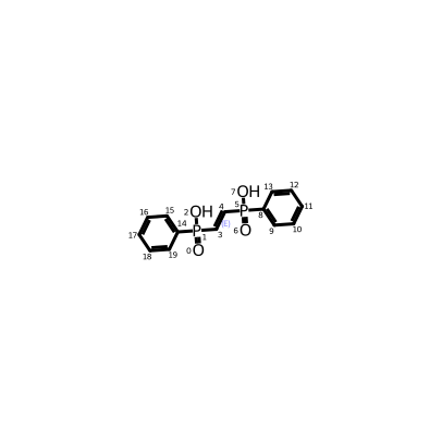 O=P(O)(/C=C/P(=O)(O)c1ccccc1)c1ccccc1